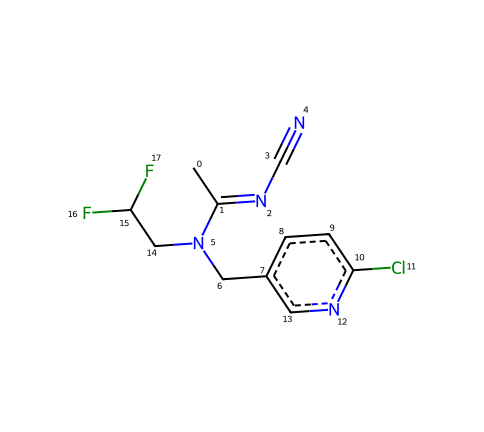 CC(=NC#N)N(Cc1ccc(Cl)nc1)CC(F)F